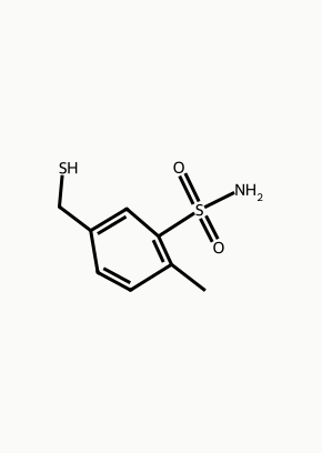 Cc1ccc(CS)cc1S(N)(=O)=O